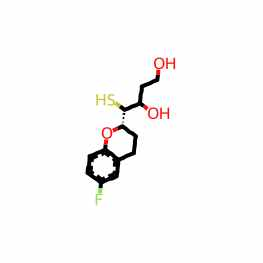 OCCC(O)C(S)[C@@H]1CCc2cc(F)ccc2O1